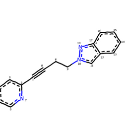 C(#Cc1ccccn1)CCn1cc2ccccc2n1